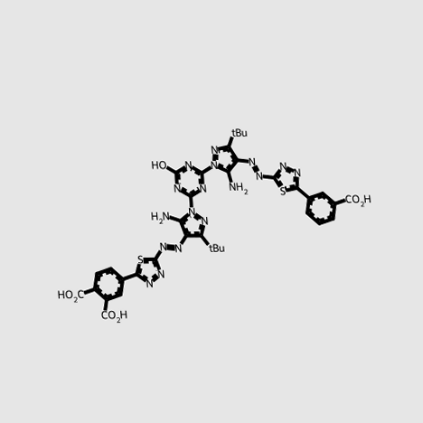 CC(C)(C)c1nn(-c2nc(O)nc(-n3nc(C(C)(C)C)c(N=Nc4nnc(-c5ccc(C(=O)O)c(C(=O)O)c5)s4)c3N)n2)c(N)c1N=Nc1nnc(-c2cccc(C(=O)O)c2)s1